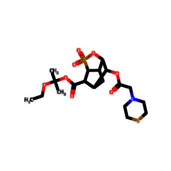 CCOC(C)(C)OC(=O)C1C2CC3C(OS(=O)(=O)C31)C2OC(=O)CN1CCSCC1